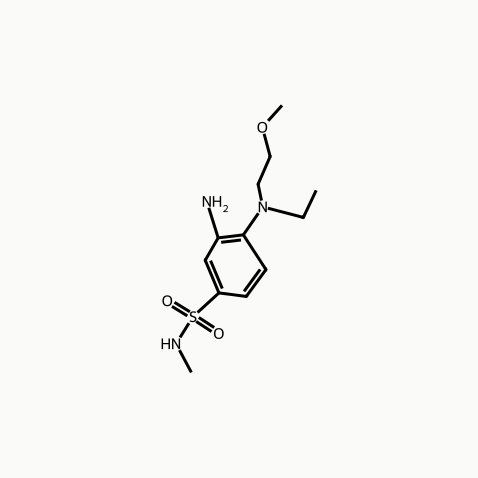 CCN(CCOC)c1ccc(S(=O)(=O)NC)cc1N